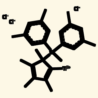 CC1=C(C)C(C)([Si](C)(c2cc(C)cc(C)c2)c2cc(C)cc(C)c2)[C]([Ti+3])=C1C.[Cl-].[Cl-].[Cl-]